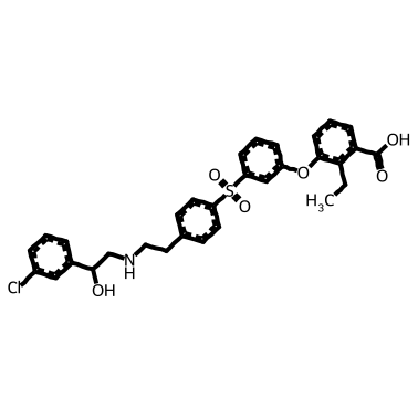 CCc1c(Oc2cccc(S(=O)(=O)c3ccc(CCNCC(O)c4cccc(Cl)c4)cc3)c2)cccc1C(=O)O